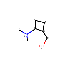 CN(C)C1CCC1CO